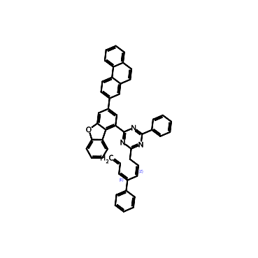 C=C/C=C(\C=C/Cc1nc(-c2ccccc2)nc(-c2cc(-c3ccc4c(ccc5ccccc54)c3)cc3oc4ccccc4c23)n1)c1ccccc1